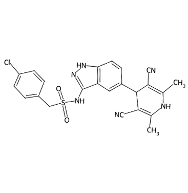 CC1=C(C#N)C(c2ccc3[nH]nc(NS(=O)(=O)Cc4ccc(Cl)cc4)c3c2)C(C#N)=C(C)N1